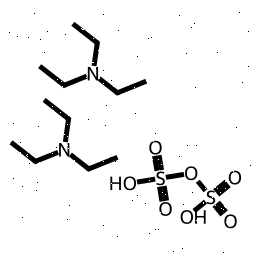 CCN(CC)CC.CCN(CC)CC.O=S(=O)(O)OS(=O)(=O)O